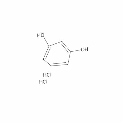 Cl.Cl.Oc1cccc(O)c1